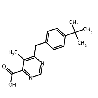 Cc1c(Cc2ccc(C(C)(C)C)cc2)ncnc1C(=O)O